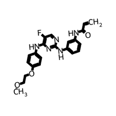 C=CC(=O)Nc1cccc(Nc2ncc(F)c(Nc3ccc(OCCOC)cc3)n2)c1